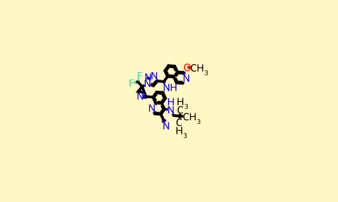 COc1nccc2c(C(Nc3cc(C#N)c4ncc(C#N)c(NCC(C)(C)C)c4c3)c3cn(C4(C(F)F)CC4)nn3)cccc12